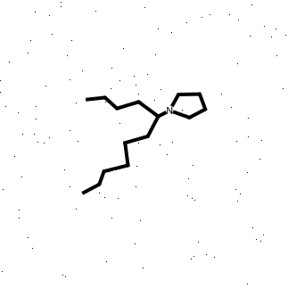 CCCCCCC(CCCC)N1CCCC1